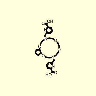 O=C(O)c1cccc(CN2CCOCCOCCN(Cc3cccc(C(=O)O)n3)CCOC3CCCC3OCC2)n1